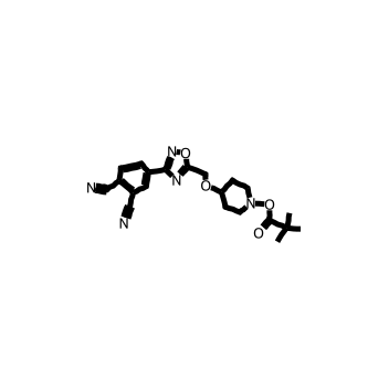 CC(C)(C)C(=O)ON1CCC(OCc2nc(-c3ccc(C#N)c(C#N)c3)no2)CC1